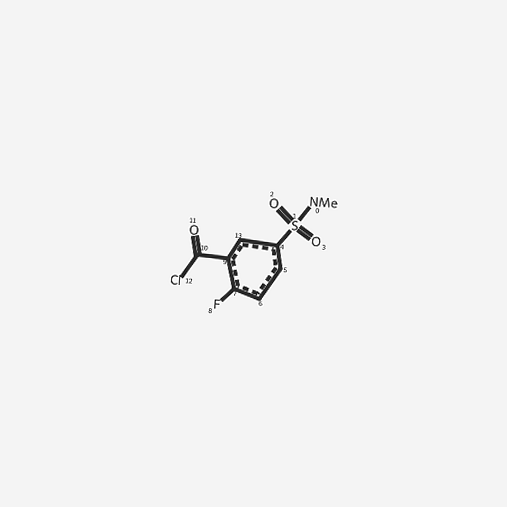 CNS(=O)(=O)c1ccc(F)c(C(=O)Cl)c1